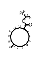 CC1CCCCCCC(C(=O)OC(C)C(C)C)CCCCC1